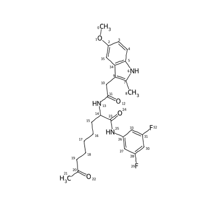 COc1ccc2[nH]c(C)c(CC(=O)NC(CCCCCC(C)=O)C(=O)Nc3cc(F)cc(F)c3)c2c1